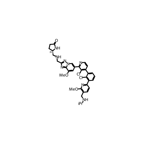 COc1nc(-c2cccc(-c3ccnc(-c4cc(OC)c5nc(CNC[C@H]6CCC(=O)N6)nn5c4)c3Cl)c2Cl)ccc1CNC(C)C